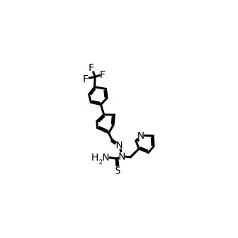 NC(=S)N(Cc1cccnc1)N=Cc1ccc(-c2ccc(C(F)(F)F)cc2)cc1